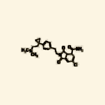 CN(C)CCC1(c2ccc(CCN3C(=O)c4cc(Cl)cc(C(N)=O)c4C3=O)cc2)CC1